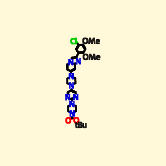 COc1cc(OC)c(-c2cn3ccc(N4CCN(c5cnc(N6CCN(C(=O)OC(C)(C)C)CC6)nc5)CC4)cc3n2)cc1Cl